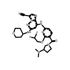 CN(C)C1CCN(C(=O)c2ccc(Nc3cc(NC4CCOCC4)nn4c(C#N)cnc34)nc2OCC(F)F)C1